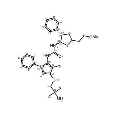 COCCC1C[C@@H](NC(=O)Nc2c(C)c(OCC(C)(C)O)nn2-c2ccccc2)[C@H](c2ccccc2)C1